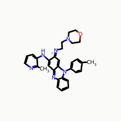 Cc1ccc(-n2c3c/c(=N\CCN4CCOCC4)c(Nc4cccnc4C)cc-3nc3ccccc32)cc1